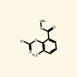 CCCCOC(=O)c1cccc(C)c1OC(=O)CC